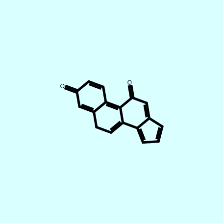 O=C1C=CC2=C3C(=O)C=C4C=CC=C4C3=CCC2=C1